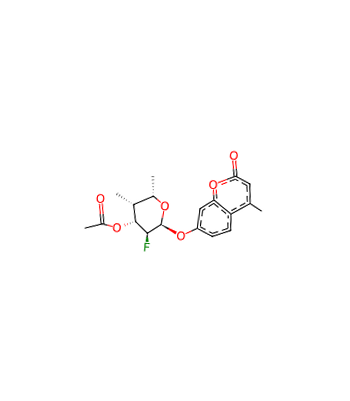 CC(=O)O[C@@H]1[C@H](C)[C@H](C)O[C@@H](Oc2ccc3c(C)cc(=O)oc3c2)[C@H]1F